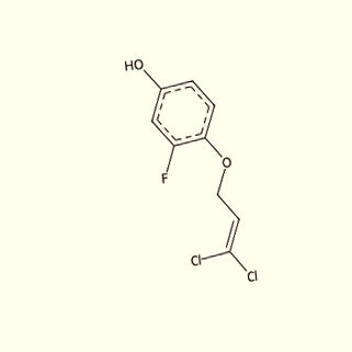 Oc1ccc(OCC=C(Cl)Cl)c(F)c1